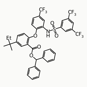 CCC(C)(C)c1ccc(Oc2ccc(C(F)(F)F)cc2NS(=O)(=O)c2cc(C(F)(F)F)cc(C(F)(F)F)c2)c(C(=O)OC(c2ccccc2)c2ccccc2)c1